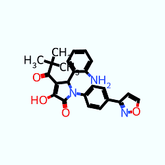 CC(C)(C)C(=O)C1=C(O)C(=O)N(c2ccc(-c3ccon3)cc2)C1c1ccccc1N